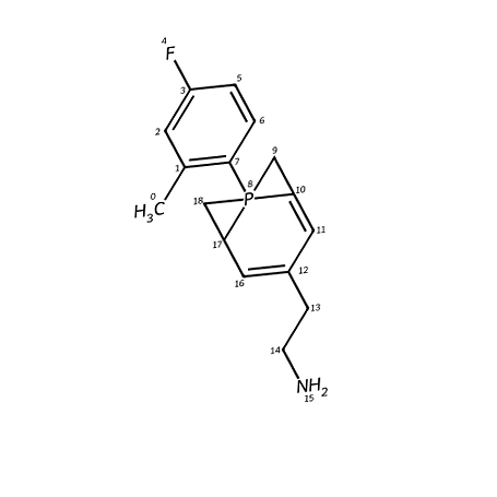 Cc1cc(F)ccc1P123CC1=CC(CCN)=CC2C3